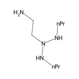 CCCNN(CCN)NCCC